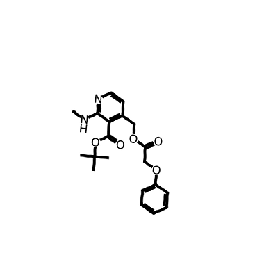 CNc1nccc(COC(=O)COc2ccccc2)c1C(=O)OC(C)(C)C